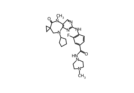 CN1CCN(NC(=O)c2ccc(Nc3ncc4c(n3)N(C3CCCC3)CC3(CC3)C(=O)N4C)c(F)c2)CC1